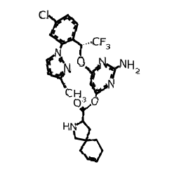 Cc1ccn(-c2cc(Cl)ccc2[C@@H](Oc2cc(OC(=O)C3CC4(CC=CCC4)CN3)nc(N)n2)C(F)(F)F)n1